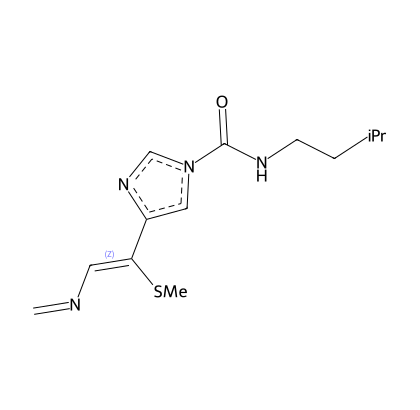 C=N/C=C(\SC)c1cn(C(=O)NCCC(C)C)cn1